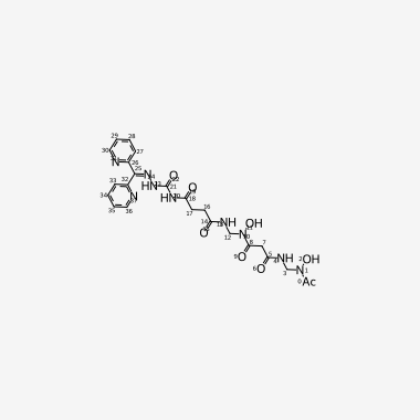 CC(=O)N(O)CNC(=O)CC(=O)N(O)CNC(=O)CCC(=O)NC(=O)NN=C(c1ccccn1)c1ccccn1